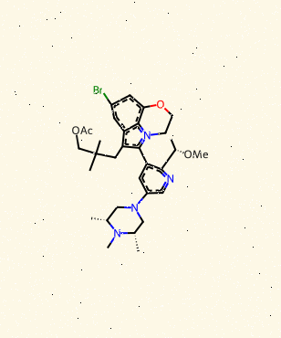 CO[C@@H](C)c1ncc(N2C[C@@H](C)N(C)[C@@H](C)C2)cc1-c1c(CC(C)(C)COC(C)=O)c2cc(Br)cc3c2n1CCO3